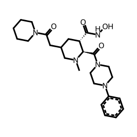 CN1CC(CC(=O)N2CCCCC2)C[C@H](C(=O)NO)[C@H]1C(=O)N1CCN(c2ccccc2)CC1